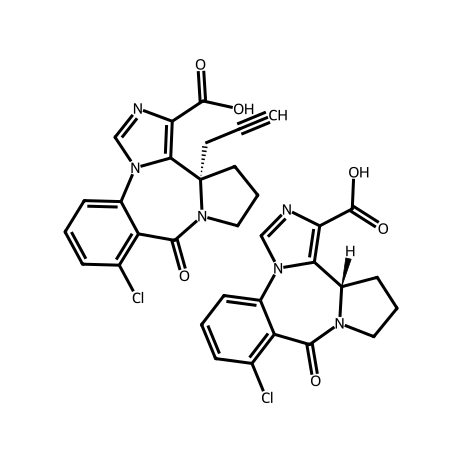 C#CC[C@]12CCCN1C(=O)c1c(Cl)cccc1-n1cnc(C(=O)O)c12.O=C(O)c1ncn2c1[C@@H]1CCCN1C(=O)c1c(Cl)cccc1-2